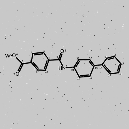 COC(=O)c1ccc(C(=O)Nc2ccc(-c3cc[c]cc3)cc2)cc1